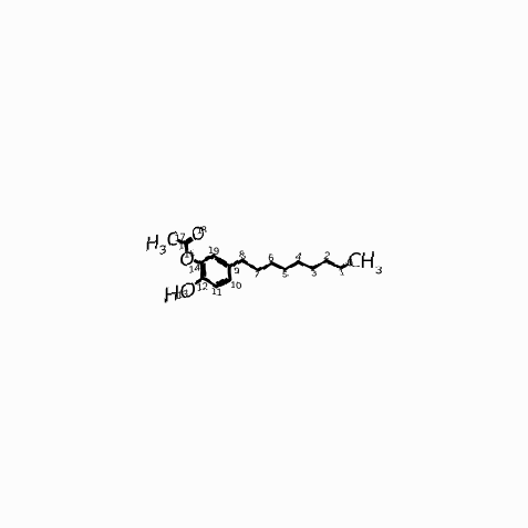 CCCCCCCCCc1ccc(O)c(OC(C)=O)c1